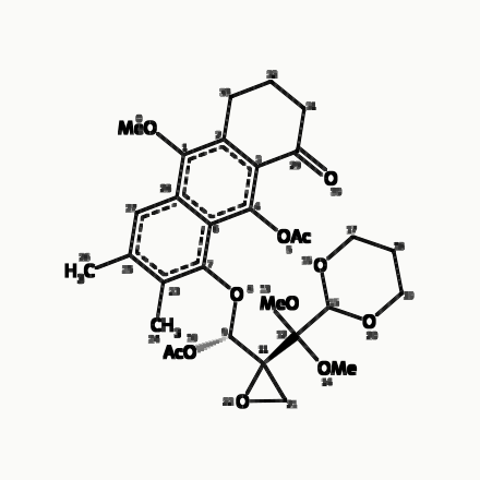 COc1c2c(c(OC(C)=O)c3c(O[C@@H](OC(C)=O)[C@]4(C(OC)(OC)C5OCCCO5)CO4)c(C)c(C)cc13)C(=O)CCC2